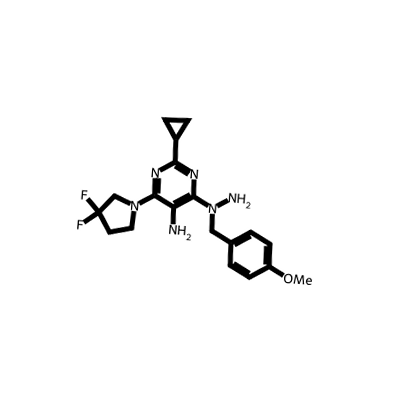 COc1ccc(CN(N)c2nc(C3CC3)nc(N3CCC(F)(F)C3)c2N)cc1